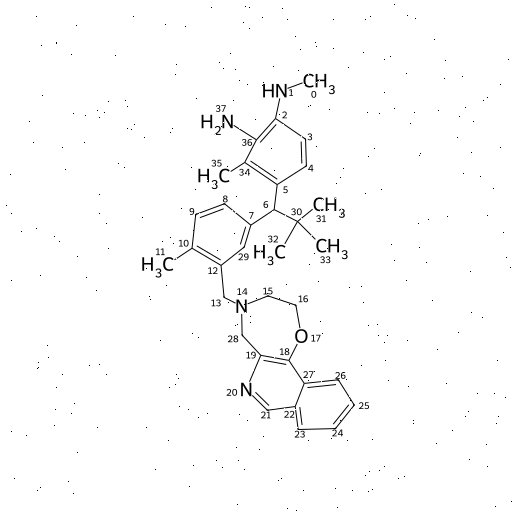 CNc1ccc(C(c2ccc(C)c(CN3CCOc4c(ncc5ccccc45)C3)c2)C(C)(C)C)c(C)c1N